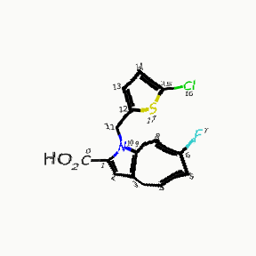 O=C(O)c1cc2ccc(F)cc2n1Cc1ccc(Cl)s1